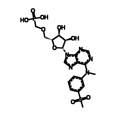 CN(c1cccc(S(C)(=O)=O)c1)c1ncnc2c1ncn2[C@@H]1O[C@H](COCP(=O)(O)O)[C@@H](O)[C@H]1O